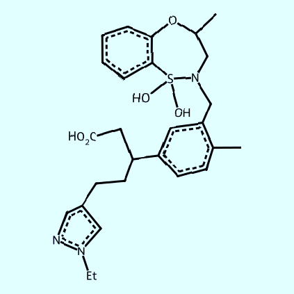 CCn1cc(CCC(CC(=O)O)c2ccc(C)c(CN3CC(C)Oc4ccccc4S3(O)O)c2)cn1